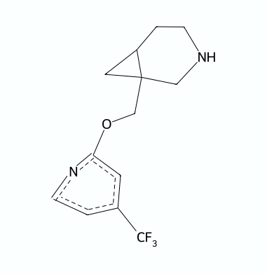 FC(F)(F)c1ccnc(OCC23CNCCC2C3)c1